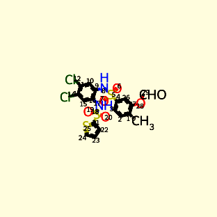 Cc1ccc(S(=O)(=O)Nc2cc(Cl)c(Cl)cc2NS(=O)(=O)c2cccs2)cc1OC=O